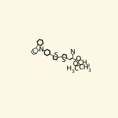 CC(C)(C)OC(=O)/C(C#N)=C/c1ccc(-c2ccc(-c3ccc(N4c5ccccc5C5C6CCC(C6)C54)cc3)s2)s1